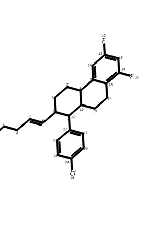 CCCC=CC1CCC2c3cc(F)cc(F)c3CCC2C1c1ccc(Cl)cc1